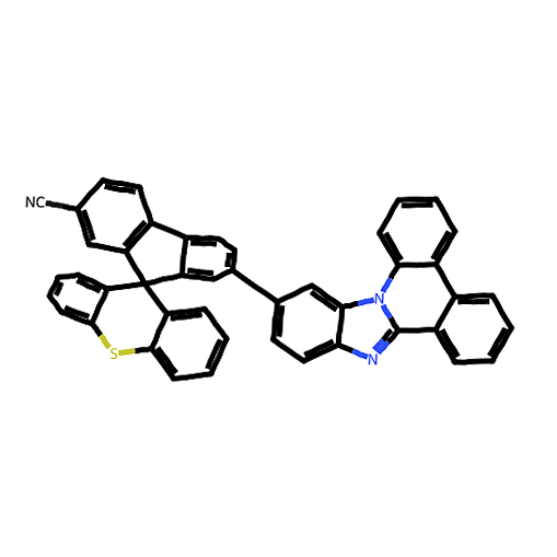 N#Cc1ccc2c(c1)C1(c3ccccc3Sc3ccccc31)c1cc(-c3ccc4nc5c6ccccc6c6ccccc6n5c4c3)ccc1-2